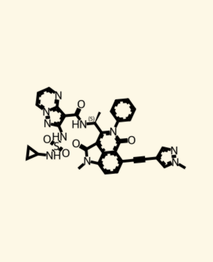 C[C@H](NC(=O)c1c(NS(=O)(=O)NC2CC2)nn2cccnc12)c1c2c3c(ccc(C#Cc4cnn(C)c4)c3c(=O)n1-c1ccccc1)N(C)C2=O